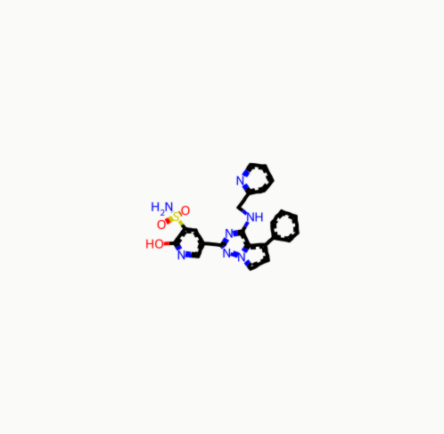 NS(=O)(=O)c1cc(-c2nc(NCc3ccccn3)c3c(-c4ccccc4)ccn3n2)cnc1O